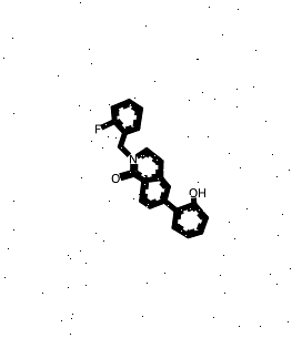 O=c1c2ccc(-c3ccccc3O)cc2ccn1Cc1ccccc1F